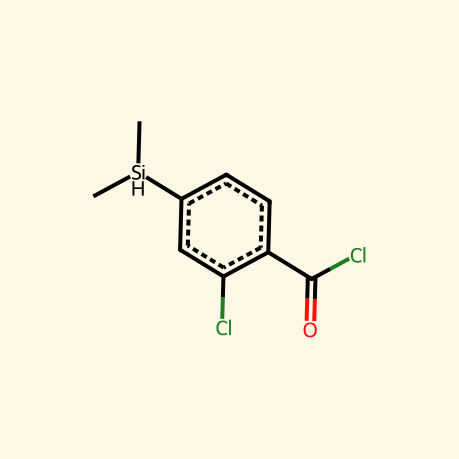 C[SiH](C)c1ccc(C(=O)Cl)c(Cl)c1